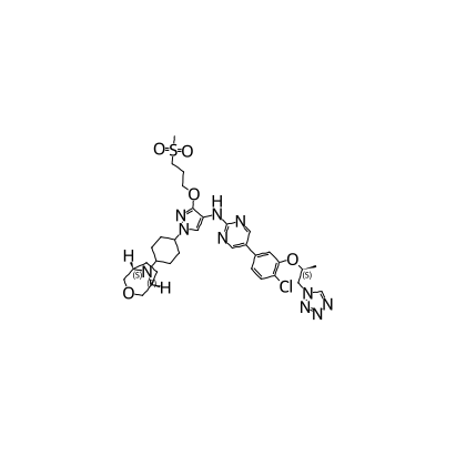 C[C@@H](Cn1cnnn1)Oc1cc(-c2cnc(Nc3cn(C4CCC(N5[C@@H]6CC[C@H]5COC6)CC4)nc3OCCCS(C)(=O)=O)nc2)ccc1Cl